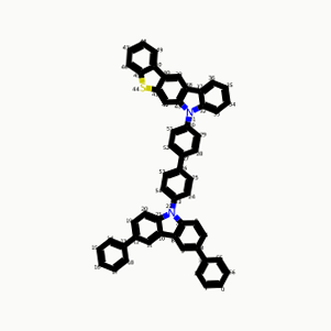 c1ccc(-c2ccc3c(c2)c2cc(-c4ccccc4)ccc2n3-c2ccc(-c3ccc(-n4c5ccccc5c5cc6c(cc54)sc4ccccc46)cc3)cc2)cc1